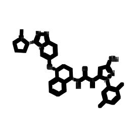 Cc1ccc(C)c(-n2nc(C(C)(C)C)cc2NC(=O)N[C@H]2CC[C@@H](Oc3ccc4nnc([C@@H]5CCCN5C)n4c3)c3ccccc32)c1